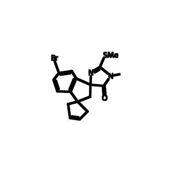 CSC1=NC2(CC3(CC=CC3)c3ccc(Br)cc32)C(=O)N1C